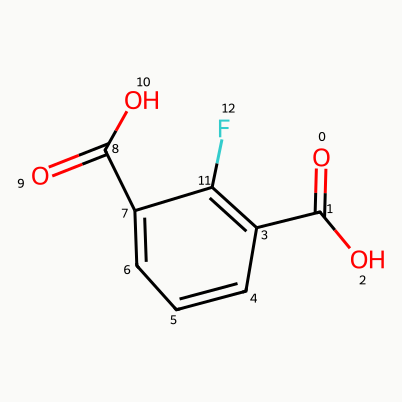 O=C(O)c1cccc(C(=O)O)c1F